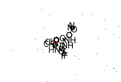 O=C(N[C@H]1CC[C@H](c2nnco2)CC1)[C@@H]1NC2(CC(CF)(CF)C2)[C@@]2(C(=O)Nc3cc(Cl)ccc32)[C@H]1c1cccc(Cl)c1F